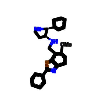 COc1ccc2nc(-c3ccccc3)sc2c1CN[C@@H]1CCN[C@@H]1c1ccccc1